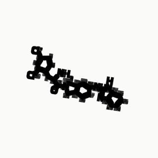 NC(Cc1ccc(Cl)cc1Cl)C(=O)N1Cc2ccc(Nc3nc4ccccc4[nH]3)cc2C1